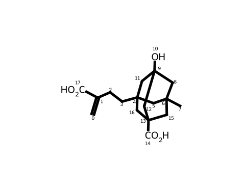 C=C(CCC12CC3(C)CC(O)(C1)CC(C(=O)O)(C3)C2)C(=O)O